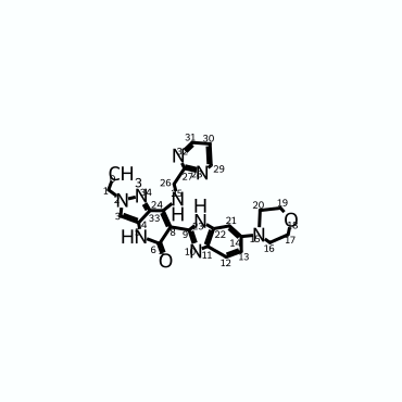 CCn1cc2[nH]c(=O)c(-c3nc4ccc(N5CCOCC5)cc4[nH]3)c(NCc3ncccn3)c2n1